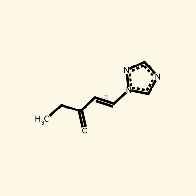 CCC(=O)/C=C/n1cncn1